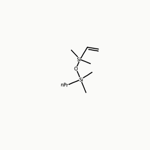 C=C[Si](C)(C)O[Si](C)(C)CCC